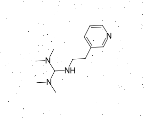 CN(C)C(NCCc1cccnc1)N(C)C